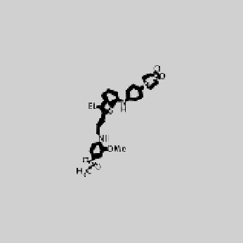 CCc1c(C#CCNc2ccc(S(C)(=O)=O)cc2OC)sc2c(NC3CCC(N4CCS(=O)(=O)CC4)CC3)cccc12